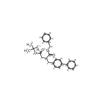 CC(C)(C)OC(=O)CC(Cc1ccc(-c2ccccc2)cc1)C(=O)OCc1ccccc1